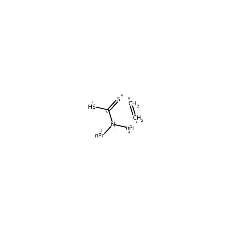 C=C.CCCN(CCC)C(=S)S